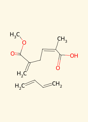 C=C(CC=C(C)C(=O)O)C(=O)OC.C=CC=C